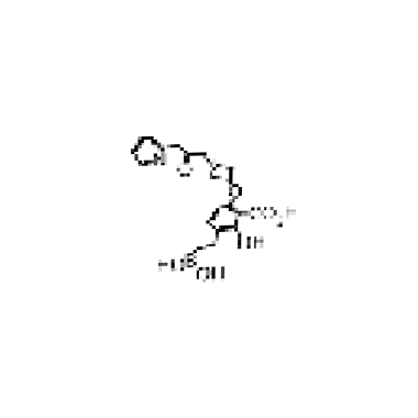 O=C(Cc1ccccn1)CN1CC(Oc2ccc(CCB(O)O)c(O)c2C(=O)O)C1